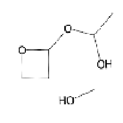 CC(O)OC1CCO1.CO